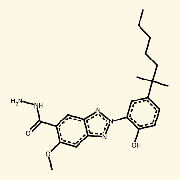 CCCCCC(C)(C)c1ccc(O)c(-n2nc3cc(OC)c(C(=O)NN)cc3n2)c1